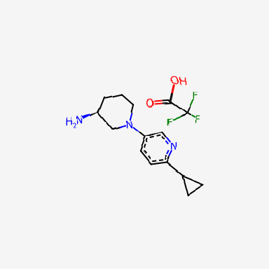 N[C@H]1CCCN(c2ccc(C3CC3)nc2)C1.O=C(O)C(F)(F)F